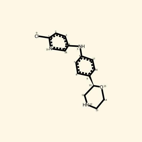 Clc1ccc(Nc2ccc([C@@H]3CNCCO3)cc2)cn1